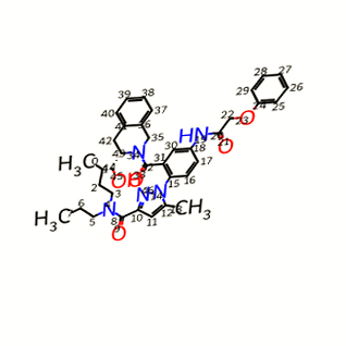 CCCCN(CCC)C(=O)c1cc(C)n(-c2ccc(NC(=O)COc3ccccc3)cc2C(=O)N2Cc3ccccc3C[C@H]2CO)n1